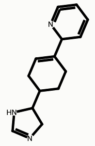 C1=CC=CC(C2=CCC(C3CN=CN3)CC2)N=1